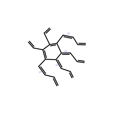 C=C/C=C\c1c(C=C)c(C=C)c(/C=C\C=C)c(=C/C=C)/c1=C\C=C